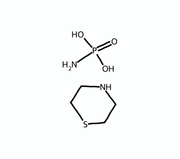 C1CSCCN1.NP(=O)(O)O